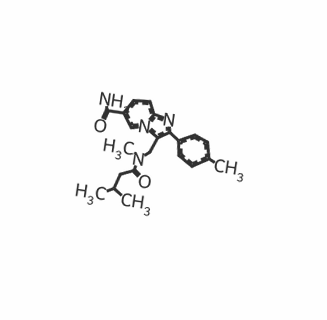 Cc1ccc(-c2nc3ccc(C(N)=O)cn3c2CN(C)C(=O)CC(C)C)cc1